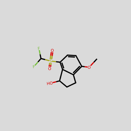 COc1ccc(S(=O)(=O)C(F)F)c2c1CCC2O